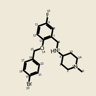 CN1CCC(NCc2cc(F)ccc2OCc2ccc(Br)cc2)CC1